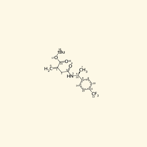 C=C(CC(=O)N[C@@H](C)c1ccc(C(F)(F)F)cc1)C(=O)OC(C)(C)C